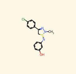 CN1N=C(c2ccc(Cl)cc2)CS1=Nc1cccc(O)c1